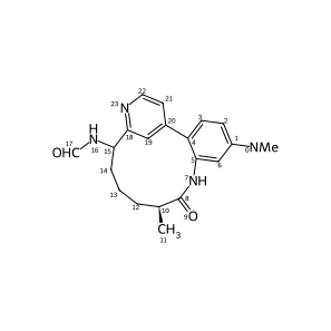 CNc1ccc2c(c1)NC(=O)[C@@H](C)CCCC(NC=O)c1cc-2ccn1